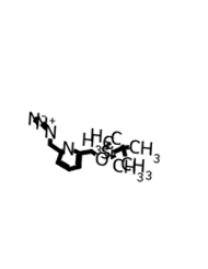 CC(C)(C)[Si](C)(C)OCc1cccc(CN=[N+]=[N-])n1